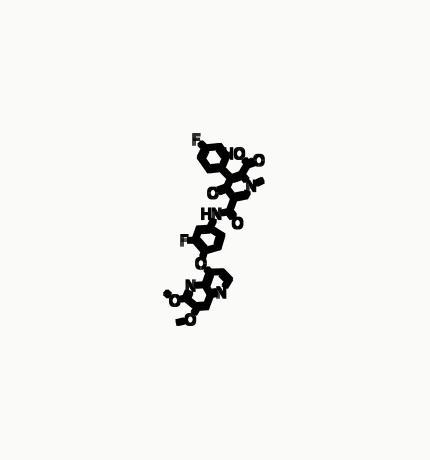 COc1cc2nccc(Oc3ccc(NC(=O)c4cn(C)c(C(=O)O)c(-c5ccc(F)cc5)c4=O)cc3F)c2nc1OC